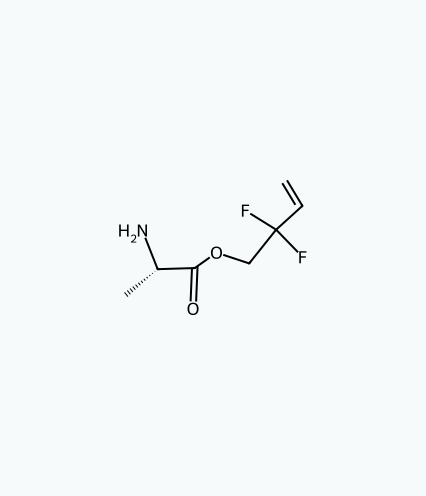 C=CC(F)(F)COC(=O)[C@H](C)N